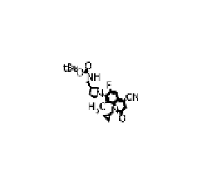 Cc1c(N2CCC(CNC(=O)OC(C)(C)C)C2)c(F)cc2c(C#N)cc(=O)n(C3CC3)c12